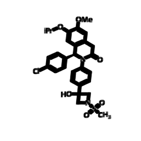 COc1cc2c(cc1OC(C)C)[C@H](c1ccc(Cl)cc1)N(c1ccc(C3(O)CN(S(C)(=O)=O)C3)cc1)C(=O)C2